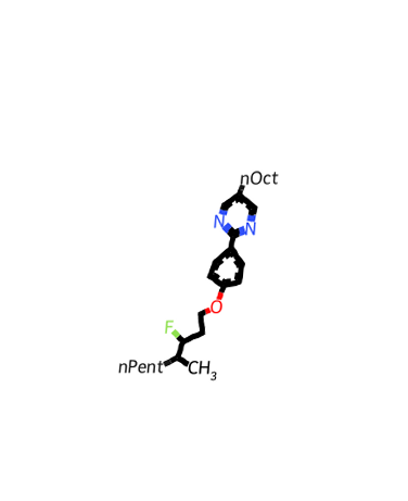 CCCCCCCCc1cnc(-c2ccc(OCCC(F)C(C)CCCCC)cc2)nc1